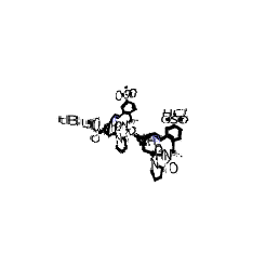 C[C@H](NC(=O)[C@@H]1CCCN1C(=O)CN)c1ccc(S(C)(=O)=O)cc1/C=C/C1CC1.C[C@H](NC(=O)[C@@H]1CCCN1C(=O)CNC(=O)OC(C)(C)C)c1ccc(S(C)(=O)=O)cc1/C=C/C1CC1.Cl